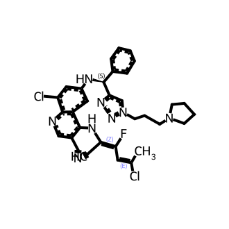 C#C/C(Nc1c(C#N)cnc2c(Cl)cc(N[C@@H](c3ccccc3)c3cn(CCCN4CCCC4)nn3)cc12)=C(F)\C=C(/C)Cl